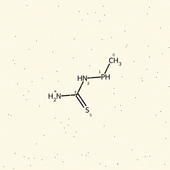 CPNC(N)=S